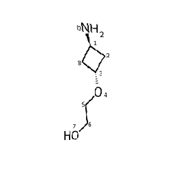 N[C@H]1C[C@H](OCCO)C1